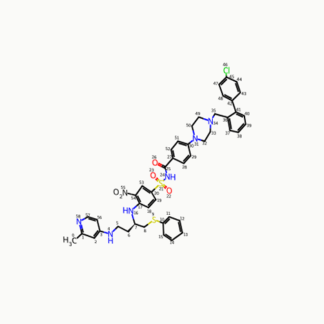 Cc1cc(NCC[C@H](CSc2ccccc2)Nc2ccc(S(=O)(=O)NC(=O)c3ccc(N4CCN(Cc5ccccc5-c5ccc(Cl)cc5)CC4)cc3)cc2[N+](=O)[O-])ccn1